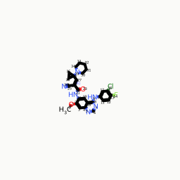 COc1cc2ncnc(Nc3ccc(F)c(Cl)c3)c2cc1NC(=O)/C(C#N)=C/C1(N2CCCCC2)CC1